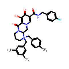 O=C(NCc1ccc(F)cc1)c1cn2c(c(O)c1=O)C(=O)N1CCC[N+](Cc3ccc(C(F)(F)F)cc3)(Cc3cc(C(F)(F)F)cc(C(F)(F)F)c3)C1C2